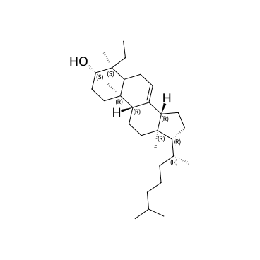 CC[C@@]1(C)C2CC=C3[C@@H]4CC[C@H]([C@H](C)CCCC(C)C)[C@@]4(C)CC[C@@H]3[C@@]2(C)CC[C@@H]1O